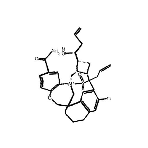 C=CC[C@H](O)[C@@H]1CC[C@H]1C[N@+]1(S(=O)(=O)C(C)(C)CC=C)CC2(CCCc3cc(Cl)ccc32)COc2ccc(C(N)=O)cc21